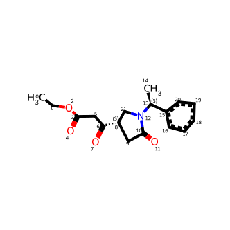 CCOC(=O)CC(=O)[C@H]1CC(=O)N([C@@H](C)c2ccccc2)C1